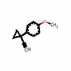 C#CC1(c2ccc(OC)cc2)CC1